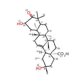 C[C@@H]1[C@H]2C3=CC[C@@H]4[C@@]5(C)CC(O)C(=O)C(C)(C)C5CC[C@@]4(C)[C@]3(C)CC[C@@]2(C(=O)O)CC[C@]1(C)O